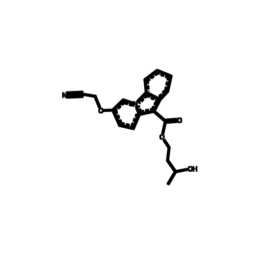 CC(O)CCOC(=O)c1c2ccccc2n2cc(OCC#N)ccc12